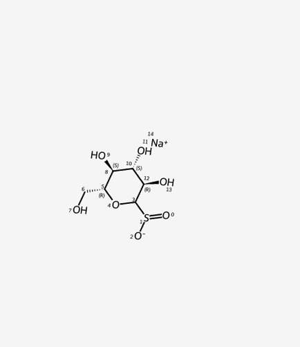 O=S([O-])C1O[C@H](CO)[C@@H](O)[C@H](O)[C@H]1O.[Na+]